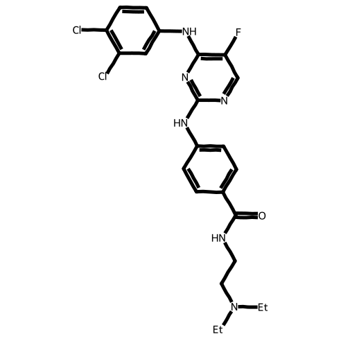 CCN(CC)CCNC(=O)c1ccc(Nc2ncc(F)c(Nc3ccc(Cl)c(Cl)c3)n2)cc1